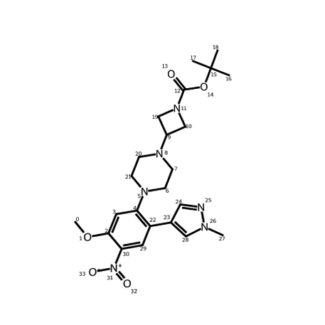 COc1cc(N2CCN(C3CN(C(=O)OC(C)(C)C)C3)CC2)c(-c2cnn(C)c2)cc1[N+](=O)[O-]